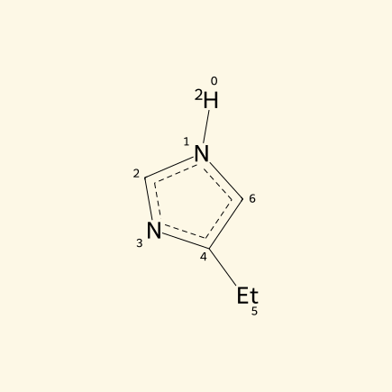 [2H]n1cnc(CC)c1